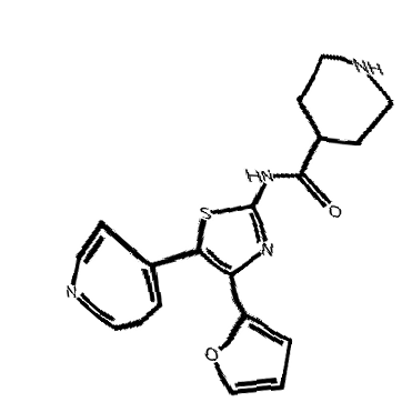 O=C(Nc1nc(-c2ccco2)c(-c2ccncc2)s1)C1CCNCC1